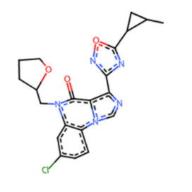 CC1CC1c1nc(-c2ncn3c2c(=O)n(CC2CCCO2)c2cc(Cl)ccc23)no1